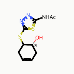 CC(=O)Nc1nnc(SC2CC=CC[C@H]2O)s1